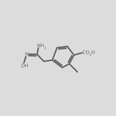 Cc1cc(C/C(N)=N\O)ccc1C(=O)O